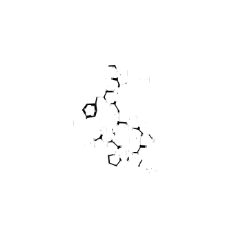 CSCC[C@H](NC(=O)[C@@H]1CCCN1C(=O)[C@H](CO)NC(=O)[C@@H](C)N)C(=O)N[C@@H](CC(C)C)C(=O)N[C@H](C(=O)N[C@@H](C)C(=O)N[C@@H](Cc1ccc(O)cc1)C(=O)N[C@@H](CC(=O)O)C(=O)N[C@H](C)C(=O)O)C(C)C